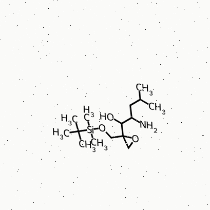 CC(C)CC(N)C(O)C1(CO[Si](C)(C)C(C)(C)C)CO1